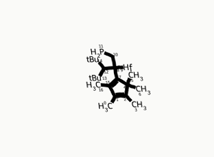 CC1=C(C)C(C)(C)C([C]([Hf])(CP)C(C(C)(C)C)C(C)(C)C)=C1C